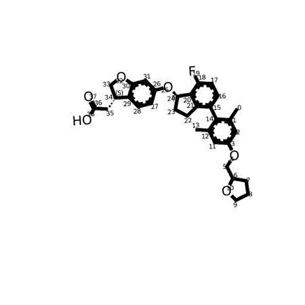 Cc1cc(OCC2CCCO2)cc(C)c1-c1ccc(F)c2c1CC[C@H]2Oc1ccc2c(c1)OC[C@H]2CC(=O)O